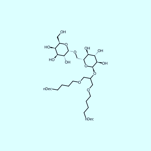 CCCCCCCCCCCCCCOCC(COCCCCCCCCCCCCCC)O[C@H]1O[C@H](CO[C@H]2O[C@H](CO)[C@H](O)[C@H](O)[C@H]2O)[C@@H](O)[C@H](O)[C@H]1O